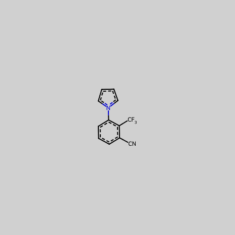 N#Cc1cccc(-n2cccc2)c1C(F)(F)F